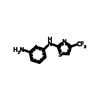 Nc1[c]c(Nc2nc(C(F)(F)F)cs2)ccc1